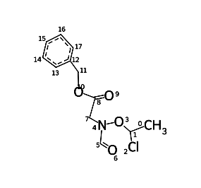 CC(Cl)ON(C=O)CC(=O)OCc1ccccc1